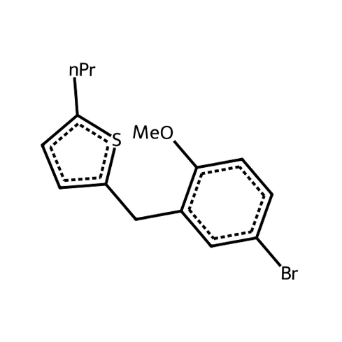 CCCc1ccc(Cc2cc(Br)ccc2OC)s1